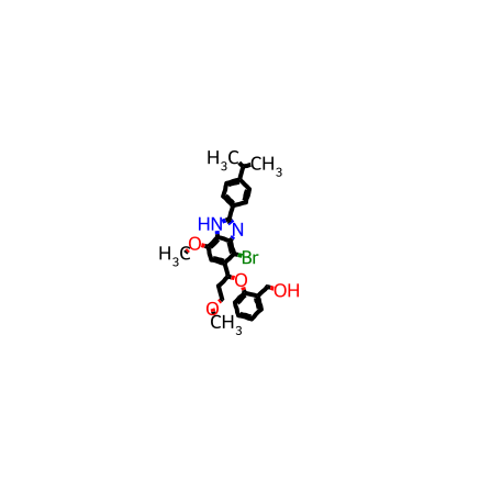 COCCC(Oc1ccccc1CO)c1cc(OC)c2[nH]c(-c3ccc(C(C)C)cc3)nc2c1Br